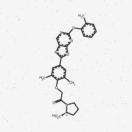 Cc1ccccc1Oc1ncc2nc(-c3cc(C)c(OCC(=O)N4CCC[C@H]4C(=O)O)c(C)c3)oc2n1